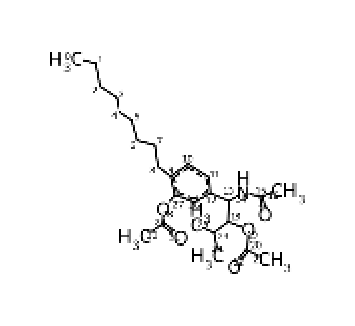 CCCCCCCCCc1ccc(C(NC(C)=O)C(OC(C)=O)C(C)C)cc1OC(C)=O